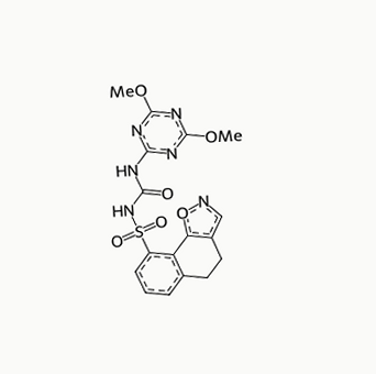 COc1nc(NC(=O)NS(=O)(=O)c2cccc3c2-c2oncc2CC3)nc(OC)n1